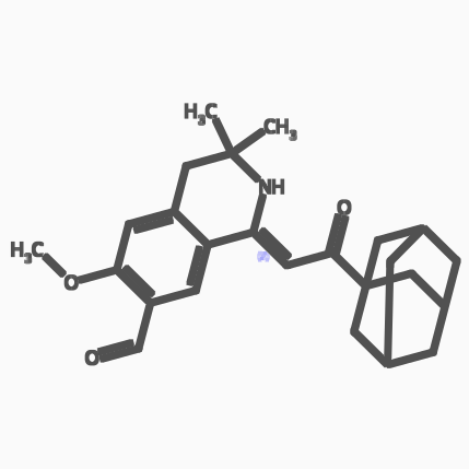 COc1cc2c(cc1C=O)/C(=C/C(=O)C13CC4CC(CC(C4)C1)C3)NC(C)(C)C2